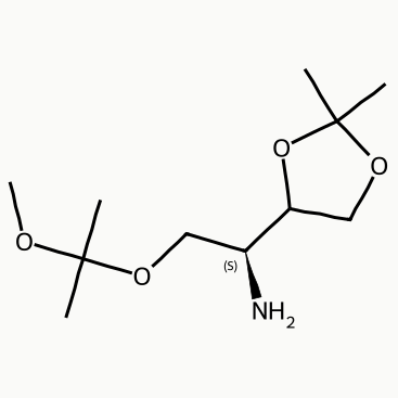 COC(C)(C)OC[C@H](N)C1COC(C)(C)O1